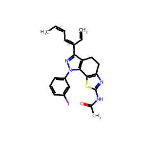 C=C/C(=C\C=C/C)c1nn(-c2cccc(I)c2)c2c1CCc1nc(NC(C)=O)sc1-2